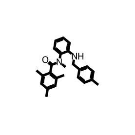 Cc1ccc(CNc2ccccc2N(C)C(=O)c2c(C)cc(C)cc2C)cc1